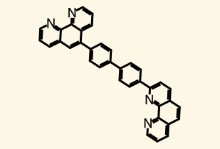 c1cnc2c(c1)ccc1ccc(-c3ccc(-c4ccc(-c5cc6cccnc6c6ncccc56)cc4)cc3)nc12